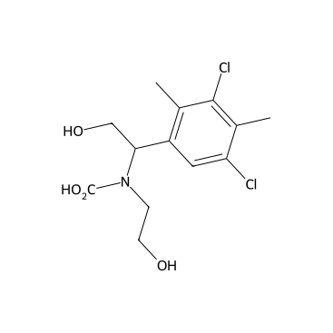 Cc1c(Cl)cc(C(CO)N(CCO)C(=O)O)c(C)c1Cl